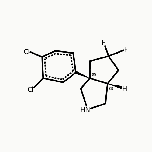 FC1(F)C[C@@H]2CNC[C@]2(c2ccc(Cl)c(Cl)c2)C1